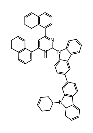 C1=CCC2C(=C1)c1ccc(-c3ccc4c(c3)c3ccccc3n4C3N=C(c4cccc5c4CCC=C5)C=C(c4cccc5c4C=CCC5)N3)cc1N2[C@@H]1CC=CCC1